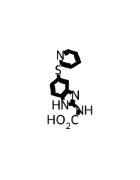 O=C(O)Nc1nc2cc(Sc3ccccn3)ccc2[nH]1